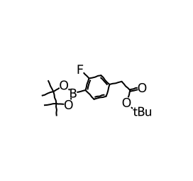 CC(C)(C)OC(=O)Cc1ccc(B2OC(C)(C)C(C)(C)O2)c(F)c1